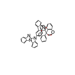 c1ccc2c(c1)Oc1ccccc1C21c2ccccc2Oc2cccc(-n3c4ccccc4c4cc(-n5c6ccccc6n6c7ccccc7nc56)ccc43)c21